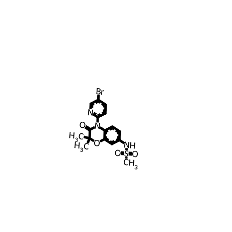 CC1(C)Oc2cc(NS(C)(=O)=O)ccc2N(c2ccc(Br)cn2)C1=O